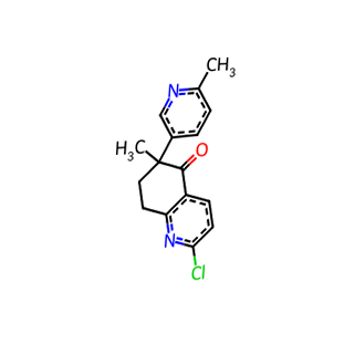 Cc1ccc(C2(C)CCc3nc(Cl)ccc3C2=O)cn1